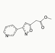 COC(=O)Cc1cc(-c2cccnc2)no1